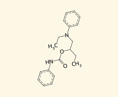 CCC(CN(CC)c1ccccc1)OC(=O)Nc1ccccc1